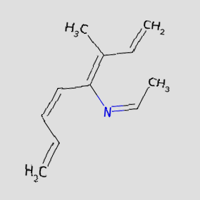 C=C\C=C/C(/N=C\C)=C(\C)C=C